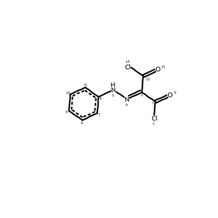 O=C(Cl)C(=NNc1ccccc1)C(=O)Cl